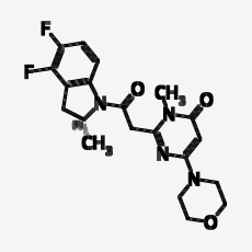 C[C@@H]1Cc2c(ccc(F)c2F)N1C(=O)Cc1nc(N2CCOCC2)cc(=O)n1C